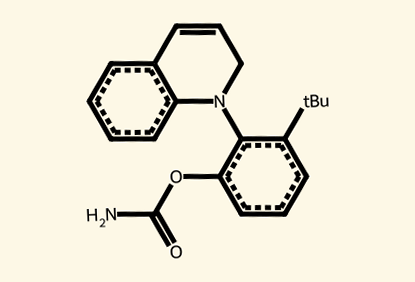 CC(C)(C)c1cccc(OC(N)=O)c1N1CC=Cc2ccccc21